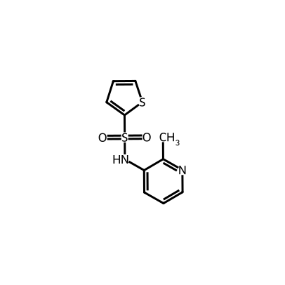 Cc1ncccc1NS(=O)(=O)c1cccs1